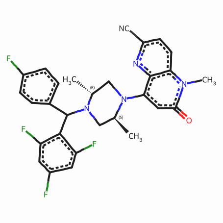 C[C@@H]1CN(c2cc(=O)n(C)c3ccc(C#N)nc23)[C@@H](C)CN1C(c1ccc(F)cc1)c1c(F)cc(F)cc1F